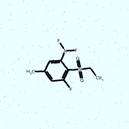 CCS(=O)(=O)c1c(F)cc(C)cc1N(F)F